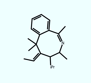 C/C=C1/C(C(C)C)C(C)/N=C(/C)c2ccccc2C1(C)C